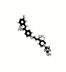 CC(C)c1noc(N2CCC([C@H](C)CCOc3ccc(C(=N)Cc4cc(F)ccc4F)cc3)CC2)n1